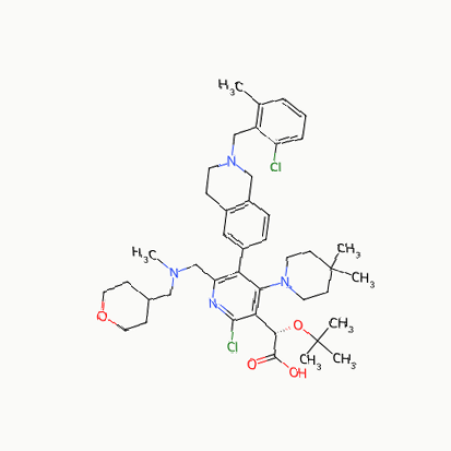 Cc1cccc(Cl)c1CN1CCc2cc(-c3c(CN(C)CC4CCOCC4)nc(Cl)c([C@H](OC(C)(C)C)C(=O)O)c3N3CCC(C)(C)CC3)ccc2C1